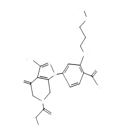 CCC(=O)N1CC(=O)c2c(C)nn(-c3ccc(C(N)=O)c(NCCCOC)c3)c2C1